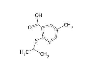 Cc1cnc(SC(C)C)c(C(=O)O)c1